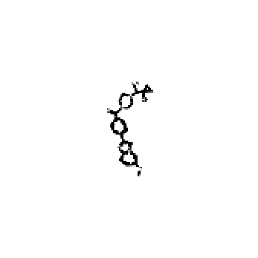 COc1ccc2nc(-c3ccc(C(=O)N4CCN(C(O)C5(O)CC5)CC4)cc3)cn2c1